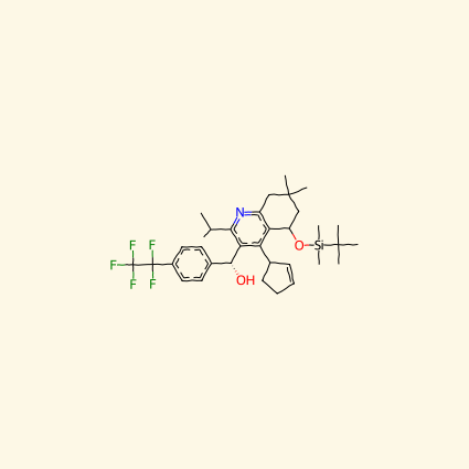 CC(C)c1nc2c(c(C3C=CCC3)c1[C@H](O)c1ccc(C(F)(F)C(F)(F)F)cc1)C(O[Si](C)(C)C(C)(C)C)CC(C)(C)C2